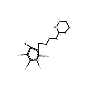 Fc1c(F)c(F)c(CCCCC2CCC[Te]O2)c(F)c1F